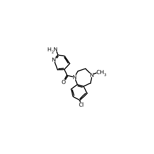 CN1CCN(C(=O)c2ccc(N)nc2)c2ccc(Cl)cc2C1